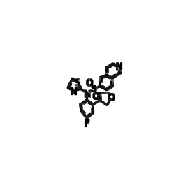 O=S(=O)(c1ccc2cnccc2c1)N(c1nccs1)c1ccc(F)cc1C1=CCOC1